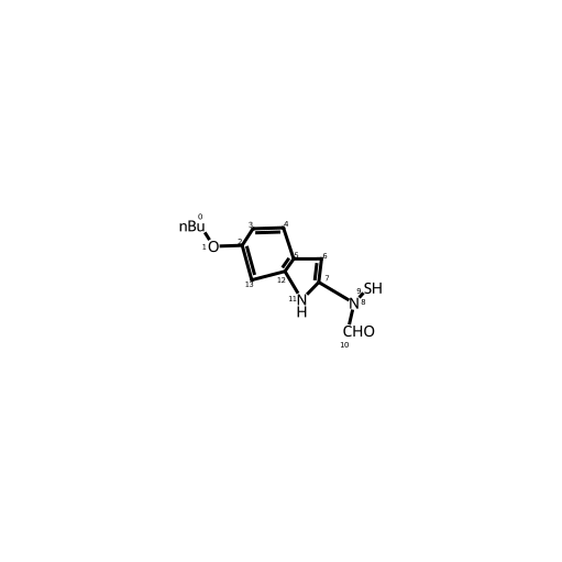 CCCCOc1ccc2cc(N(S)C=O)[nH]c2c1